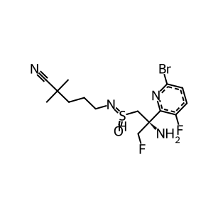 CC(C)(C#N)CCC/N=[SH](=O)/C[C@@](N)(CF)c1nc(Br)ccc1F